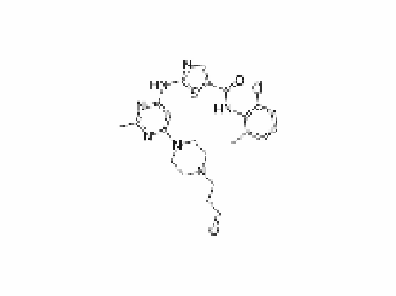 Cc1nc(Nc2ncc(C(=O)Nc3c(C)cccc3Cl)s2)cc(N2CCN(CCC=O)CC2)n1